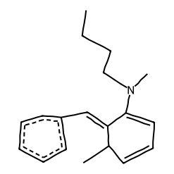 CCCCN(C)C1=CC=CC(C)C1=Cc1ccccc1